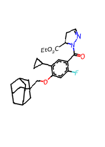 CCOC(=O)C1CC=NN1C(=O)c1cc(C2CC2)c(OCC23CC4CC(CC(C4)C2)C3)cc1F